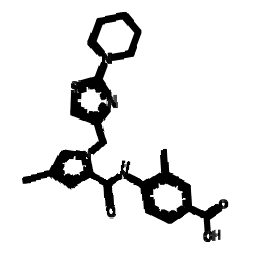 Cc1cc(C(=O)Nc2ccc(C(=O)O)cc2C)n(Cc2csc(N3CCCCC3)n2)c1